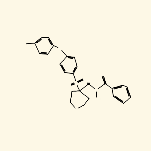 O=C(c1ccccc1)N(O)C(=O)C1(S(=O)(=O)c2ccc(Oc3ccc(C(F)(F)F)cc3)cc2)CCNCC1